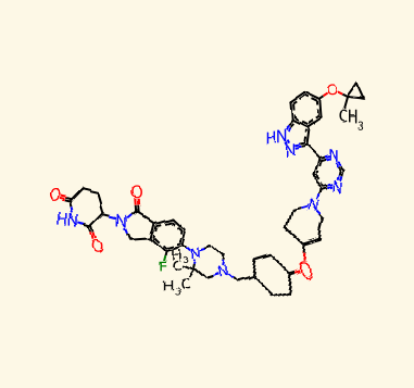 CC1(Oc2ccc3[nH]nc(-c4cc(N5CCC(OC6CCC(CN7CCN(c8ccc9c(c8F)CN(C8CCC(=O)NC8=O)C9=O)C(C)(C)C7)CC6)CC5)ncn4)c3c2)CC1